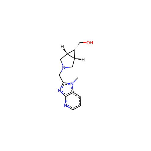 Cn1c(CN2C[C@@H]3[C@H](CO)[C@@H]3C2)nc2ncccc21